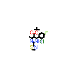 CC1=C(C(=O)OC(C)(C)C)C(c2ccc(F)cc2Cl)NC(c2nccs2)=N1